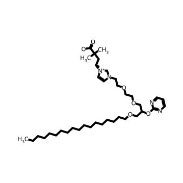 CCCCCCCCCCCCCCCCCCOCC(COCCOCCN1C=C[N+](=CCC(C)(C)C(=O)[O-])C1)Oc1ncccn1